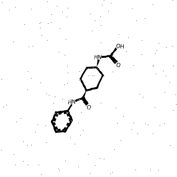 O=C(O)N[C@H]1CC[C@@H](C(=O)Nc2ccccc2)CC1